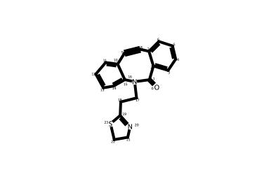 O=C1c2ccccc2C#Cc2ccccc2N1CCC1=NCCS1